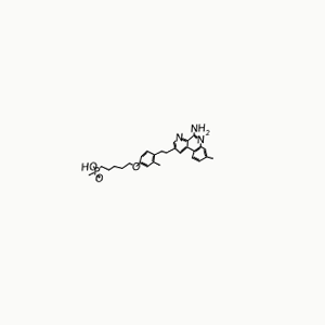 Cc1ccc2c(c1)nc(N)c1ncc(CCc3ccc(OCCCCCP(C)(=O)O)cc3C)cc12